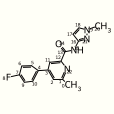 Cc1cc(-c2ccc(F)cc2)cc(C(=O)Nc2ccn(C)n2)n1